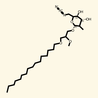 CCCCCCCCCCCCCCCCOCC(CO[C@@H]1OC(CN=[N+]=[N-])[C@@H](O)[C@H](O)C1C)OC